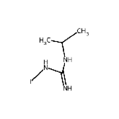 CC(C)NC(=N)NI